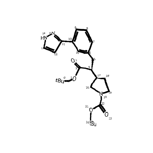 CC(C)(C)OC(=O)[C@@H](Cc1cccc(-c2cc[nH]n2)c1)[C@H]1CCN(C(=O)OC(C)(C)C)C1